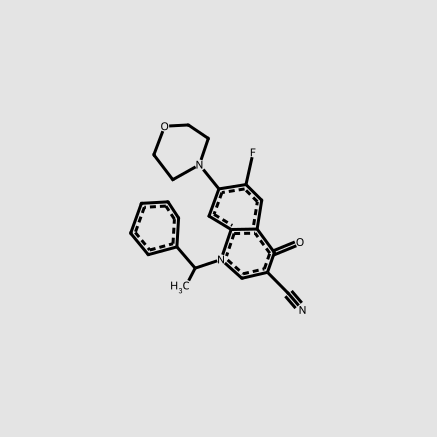 CC(c1ccccc1)n1cc(C#N)c(=O)c2cc(F)c(N3CCOCC3)cc21